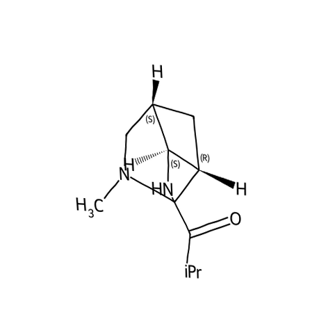 CC(C)C(=O)N[C@@H]1[C@@H]2C[C@H]1CN(C)C2